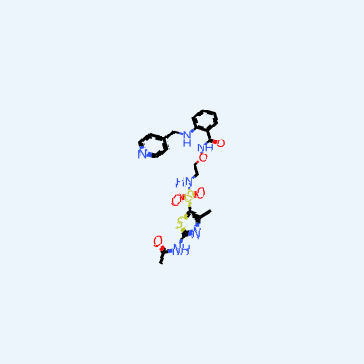 CC(=O)Nc1nc(C)c(S(=O)(=O)NCCONC(=O)c2ccccc2NCc2ccncc2)s1